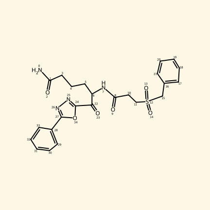 NC(=O)CCCC(NC(=O)[CH]CS(=O)(=O)Cc1ccccc1)C(=O)c1nnc(-c2ccccc2)o1